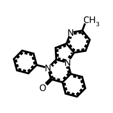 Cc1ccc2c(cc3n(-c4ccccc4)c(=O)c4ccccc4n23)n1